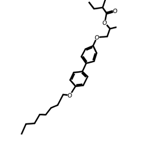 CCCCCCCCOc1ccc(-c2ccc(OCC(C)OC(=O)C(C)CC)cc2)cc1